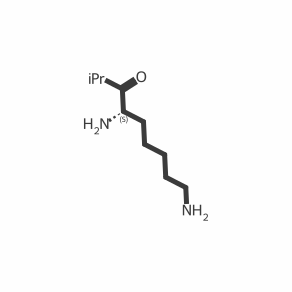 CC(C)C(=O)[C@@H](N)CCCCCN